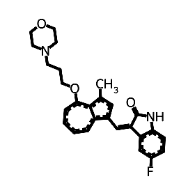 Cc1cc(/C=C2\C(=O)Nc3ccc(F)cc32)c2ccccc(OCCCN3CCOCC3)c1-2